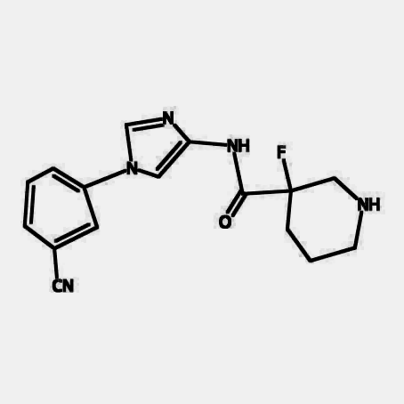 N#Cc1cccc(-n2cnc(NC(=O)C3(F)CCCNC3)c2)c1